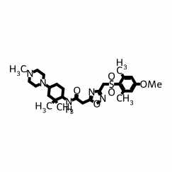 COc1cc(C)c(S(=O)(=O)Cc2noc(CC(=O)NC3CCC(N4CCN(C)CC4)CC3(C)C)n2)c(C)c1